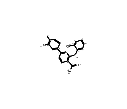 Cc1ccc(-c2ccc(C(=O)O)c(Oc3ccccc3Cl)n2)cc1F